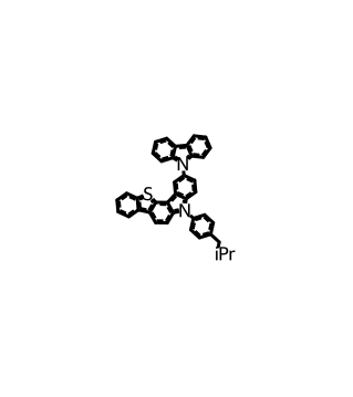 CC(C)Cc1ccc(-n2c3ccc(-n4c5ccccc5c5ccccc54)cc3c3c4sc5ccccc5c4ccc32)cc1